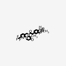 CC(C(=O)NCc1ccc(C(F)(F)F)nc1N1CCC(=O)CC1)c1ccc(NS(C)(=O)=O)c(F)c1